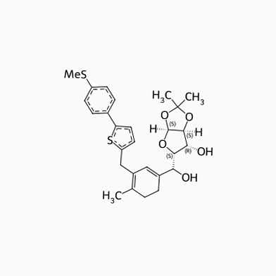 CSc1ccc(-c2ccc(CC3=C(C)CCC(C(O)[C@@H]4O[C@H]5OC(C)(C)O[C@H]5[C@@H]4O)=C3)s2)cc1